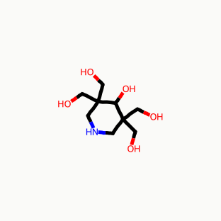 OCC1(CO)CNCC(CO)(CO)C1O